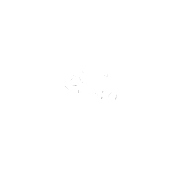 NC1CCC(Nc2nc(NC3CCN(S(=O)(=O)c4cccs4)CC3)c3ncn(C4CCCC4)c3n2)CC1